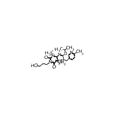 Cc1ccc(CC(C)/C(=N\c2c(C)c(=O)n(CCCO)c(=O)n2C)OC(C)C)cn1